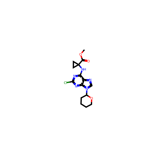 COC(=O)C1(Nc2nc(Cl)nc3c2ncn3C2CCCCO2)CC1